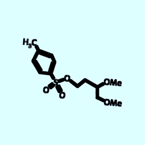 COCC(CCOS(=O)(=O)c1ccc(C)cc1)OC